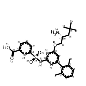 Cc1cccc(C)c1-c1cc(OC[C@H](N)CC(C)(C)C)nc(NS(=O)(=O)c2cccc(C(=O)O)n2)n1